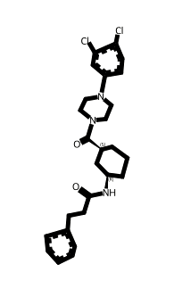 O=C(CCc1ccccc1)N[C@@H]1CCC[C@H](C(=O)N2CCN(c3ccc(Cl)c(Cl)c3)CC2)C1